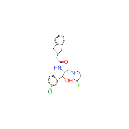 O=C(CC1Cc2ccccc2C1)NC(CN1CCC(F)C1)C(O)c1cccc(Cl)c1